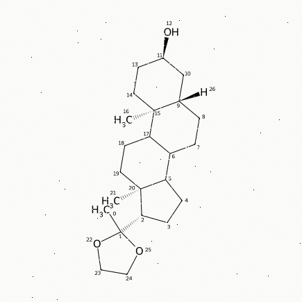 CC1([C@H]2CCC3C4CC[C@H]5C[C@H](O)CC[C@]5(C)C4CC[C@@]32C)OCCO1